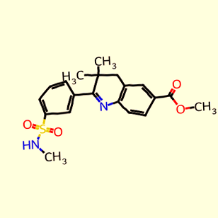 CNS(=O)(=O)c1cccc(C2=Nc3ccc(C(=O)OC)cc3CC2(C)C)c1